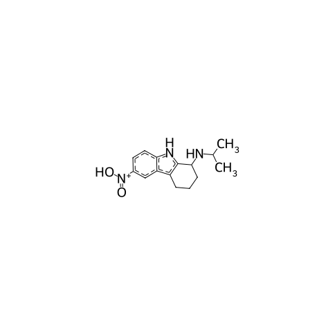 CC(C)NC1CCCc2c1[nH]c1ccc([N+](=O)O)cc21